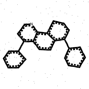 c1ccc(-c2cccc3c2ccc2c(-c4ccccc4)ccnc23)cc1